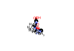 C/C(=C\[C@H](C(C)C)N(C)C(=O)[C@@H](NC(=O)[C@H]1CCCCN1C(C)C)C(C)C)C(=O)N1CCC(C(=O)O)CC1